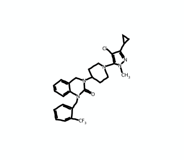 Cn1nc(C2CC2)c(Cl)c1N1CCC(N2Cc3ccccc3N(Cc3ccccc3C(F)(F)F)C2=O)CC1